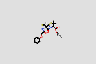 CC1(C)S[C@H]2N(C(=O)[C@]2(C=S)NC(=O)COc2ccccc2)[C@H]1C(=O)OCC(Cl)(Cl)Cl